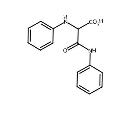 O=C(O)C(Nc1ccccc1)C(=O)Nc1ccccc1